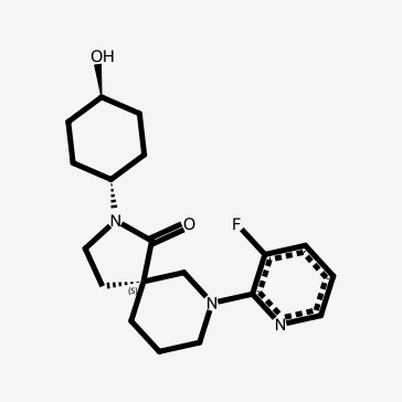 O=C1N([C@H]2CC[C@H](O)CC2)CC[C@]12CCCN(c1ncccc1F)C2